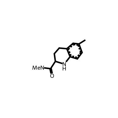 CNC(=O)C1CCc2cc(C)ccc2N1